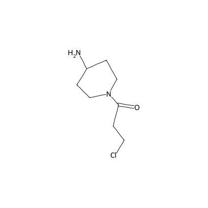 NC1CCN(C(=O)CCCl)CC1